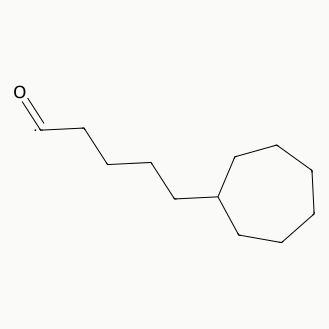 O=[C]CCCCC1CCCCCC1